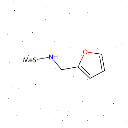 CSNCc1ccco1